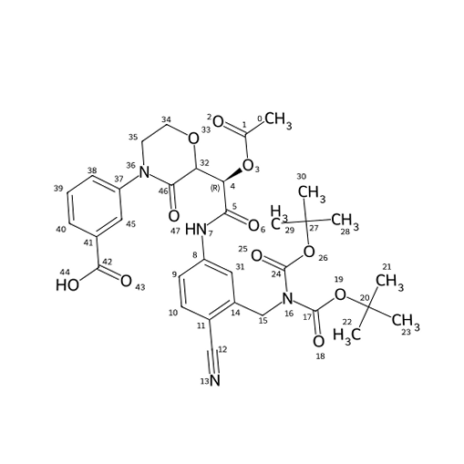 CC(=O)O[C@@H](C(=O)Nc1ccc(C#N)c(CN(C(=O)OC(C)(C)C)C(=O)OC(C)(C)C)c1)C1OCCN(c2cccc(C(=O)O)c2)C1=O